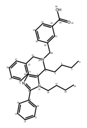 CCCCC(c1cnc(-c2ccccc2)n1CCCC)N(Cc1ccccc1)Cc1cccc(C(=O)O)c1